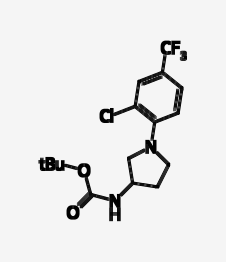 CC(C)(C)OC(=O)NC1CCN(c2ccc(C(F)(F)F)cc2Cl)C1